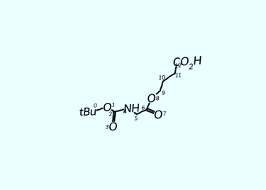 CC(C)(C)OC(=O)NCC(=O)OCCCC(=O)O